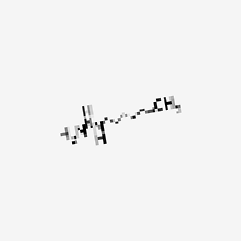 C=CCCCCCNNN